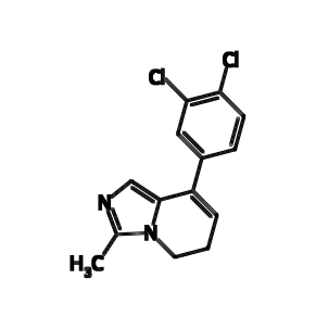 Cc1ncc2n1CCC=C2c1ccc(Cl)c(Cl)c1